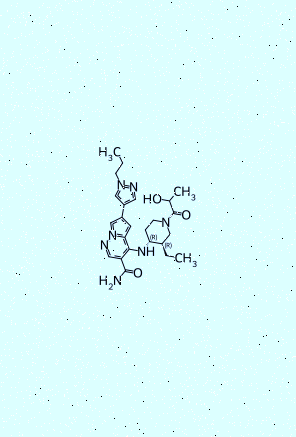 CCCn1cc(-c2cc3c(N[C@@H]4CCN(C(=O)C(C)O)C[C@H]4CC)c(C(N)=O)cnn3c2)cn1